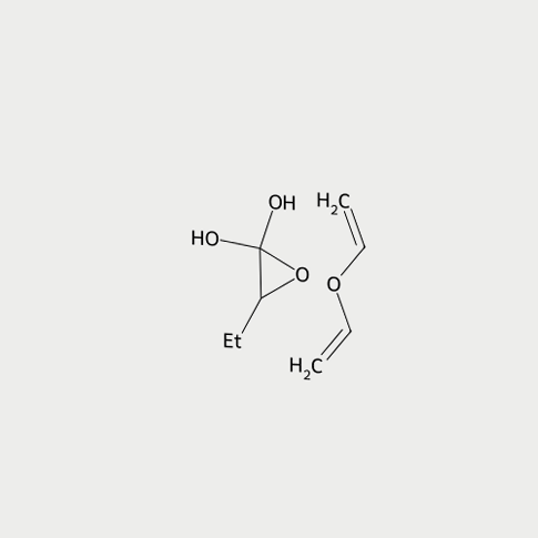 C=COC=C.CCC1OC1(O)O